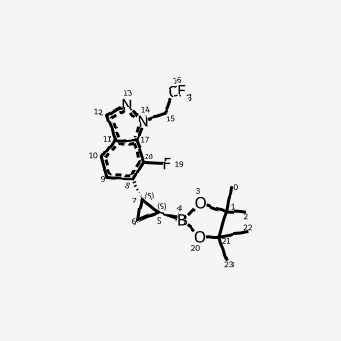 CC1(C)OB([C@H]2C[C@@H]2c2ccc3cnn(CC(F)(F)F)c3c2F)OC1(C)C